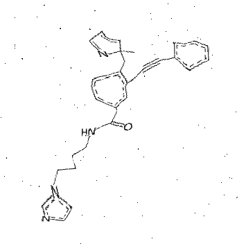 CC1(c2ccc(C(=O)NCCCCn3ccnc3)cc2C#Cc2ccccc2)C=CC=N1